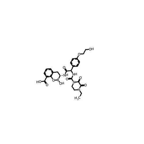 CCN1CCN(C(=O)NC(C(=O)N[C@H]2Cc3cccc(C(=O)O)c3OB2O)c2ccc(OCCO)cc2)C(=O)C1=O